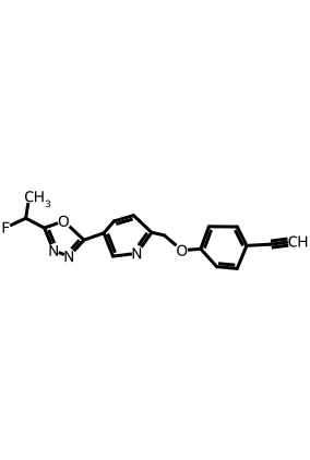 C#Cc1ccc(OCc2ccc(-c3nnc(C(C)F)o3)cn2)cc1